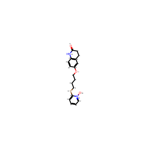 O=C1CCc2cc(OCCCCSc3cccc[n+]3[O-])ccc2N1